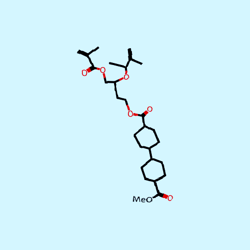 C=C(C)C(=O)OCC(CCOC(=O)C1CCC(C2CCC(C(=O)OC)CC2)CC1)OC(C)C(=C)C